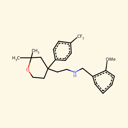 COc1ccccc1CNCCC1(c2ccc(C(F)(F)F)cc2)CCOC(C)(C)C1